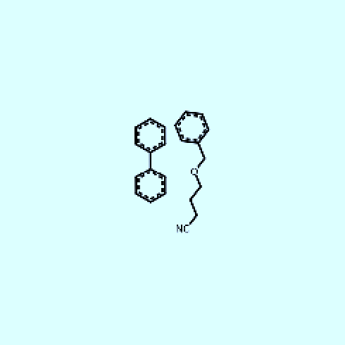 N#CCCCOCc1ccccc1.c1ccc(-c2ccccc2)cc1